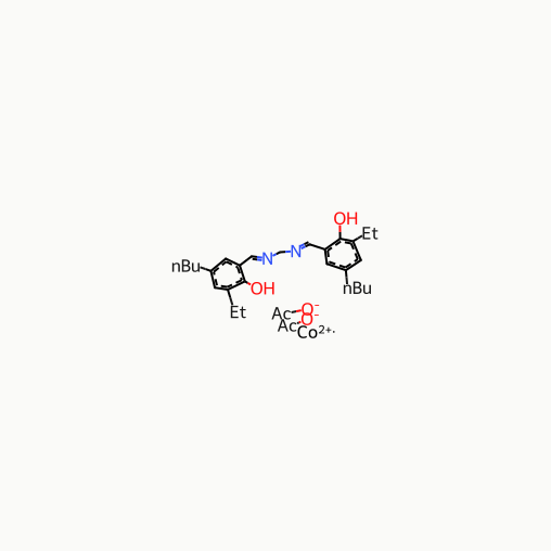 CC(=O)[O-].CC(=O)[O-].CCCCc1cc(C=NCN=Cc2cc(CCCC)cc(CC)c2O)c(O)c(CC)c1.[Co+2]